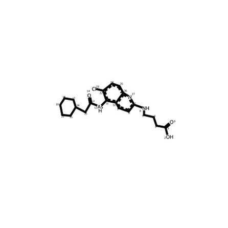 O=C(O)CCCNc1ccc2c([AsH]C(=O)CC3CCCCC3)c(Cl)ccc2n1